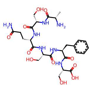 C[C@H](N)C(=O)N[C@@H](CO)C(=O)N[C@@H](CCC(N)=O)C(=O)N[C@@H](CO)C(=O)N[C@@H](Cc1ccccc1)C(=O)N[C@@H](CO)C(=O)O